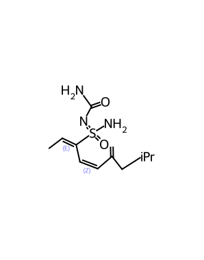 C=C(/C=C\C(=C/C)S(N)(=O)=NC(N)=O)CC(C)C